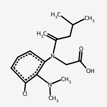 C=C(CC(C)C)N(CC(=O)O)c1cccc(Cl)c1N(C)C